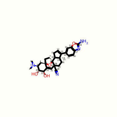 CN(C)[C@H]1C[C@@]23CC[C@]4(O2)C2CC=C(c5ccc6nc(N)oc6c5)[C@@]2(C)CCC4(C#N)C=C3[C@@H](O)[C@@H]1O